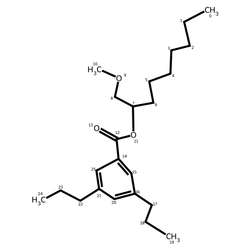 CCCCCCCC(COC)OC(=O)c1cc(CCC)cc(CCC)c1